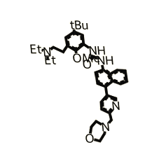 CCN(CC)CCc1cc(C(C)(C)C)cc(NC(=O)Nc2ccc(-c3ccc(CN4CCOCC4)nc3)c3ccccc23)c1OC